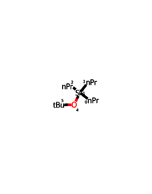 CCC[Si](CCC)(CCC)OC(C)(C)C